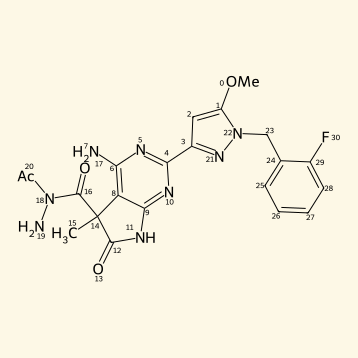 COc1cc(-c2nc(N)c3c(n2)NC(=O)C3(C)C(=O)N(N)C(C)=O)nn1Cc1ccccc1F